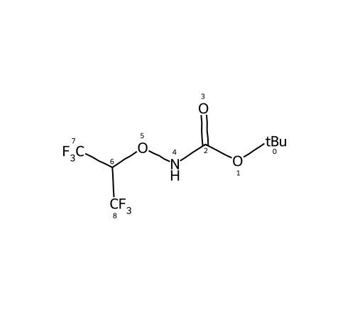 CC(C)(C)OC(=O)NOC(C(F)(F)F)C(F)(F)F